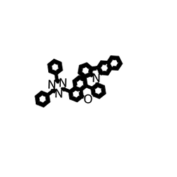 c1ccc(-c2nc(-c3ccccc3)nc(-c3ccc4c5c(cccc35)-c3c(cccc3-n3c5ccccc5c5cc6ccccc6cc53)O4)n2)cc1